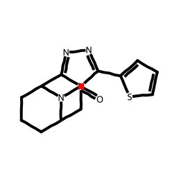 O=CN1C2CCCC1c1nnc(-c3cccs3)n1C2